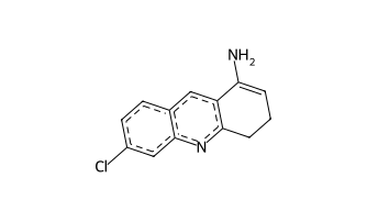 NC1=CCCc2nc3cc(Cl)ccc3cc21